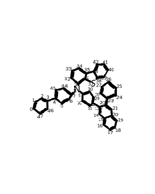 c1ccc(-c2ccc(N(c3ccc(-c4cc5ccccc5cc4-c4ccccc4)cc3)c3cccc4c3sc3ccccc34)cc2)cc1